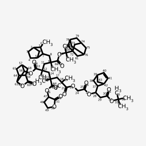 CC1C2CCC(C2)C1CC(C)(CC(C)(CC(C)(CC(C)(C)C(=O)OCC(=O)OC(CC(=O)OC(C)(C)C)C1CC2C=CC1C2)C(=O)OC1CCOC1=O)C(=O)OC1C2CC3C(=O)OC1C3C2)C(=O)OC(C)(C)C12CC3CC(CC(C3)C1)C2